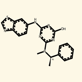 C[C@H](c1ccccc1)N(C)c1nc(O)nc(Nc2ccc3ncsc3c2)n1